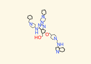 OCc1cc2c(NC3CCN(Cc4ccccc4)CC3)nc(N3CCN(c4ccccc4)CC3)nc2cc1OCC1CCN(CCNc2ccnc3ccccc23)CC1